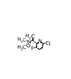 C=C(c1nc(Cl)ccc1F)N(C)OC